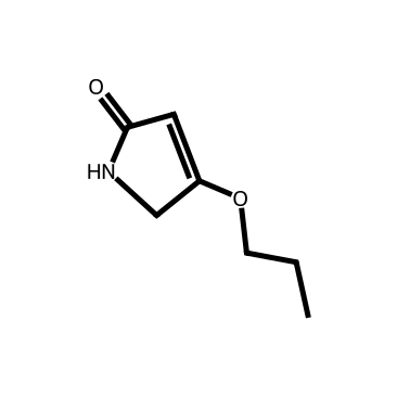 CCCOC1=CC(=O)NC1